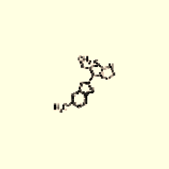 C=CC1=C(c2cc3cc(C)ccc3s2)N2CCN=C2S1